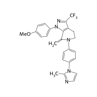 C=C1c2c(c(C(F)(F)F)nn2-c2ccc(OC)cc2)CCN1c1ccc(-n2ccnc2C)cc1